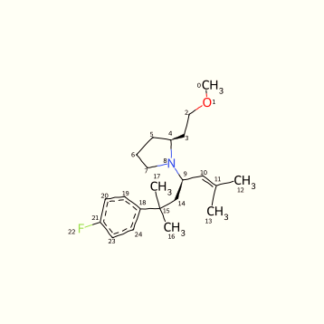 COCC[C@@H]1CCCN1[C@@H](C=C(C)C)CC(C)(C)c1ccc(F)cc1